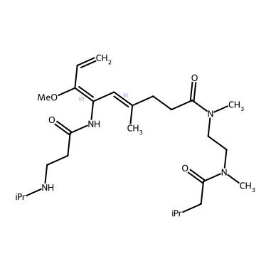 C=C/C(OC)=C(\C=C(/C)CCC(=O)N(C)CCN(C)C(=O)CC(C)C)NC(=O)CCNC(C)C